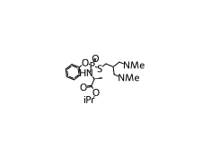 CNCC(CNC)CSP(=O)(N[C@@H](C)C(=O)OC(C)C)Oc1ccccc1